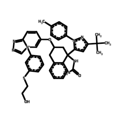 Cc1ccc(-n2nc(C(C)(C)C)cc2C2(NC(N)=O)CC(OC3=C[N+]4(c5cccc(SCCO)c5)C=NN=C4C=C3)Cc3ccccc32)cc1